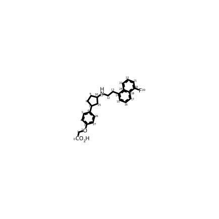 O=C(O)COc1ccc(C2CCC(NCCc3cccc4c(F)cccc34)C2)cc1